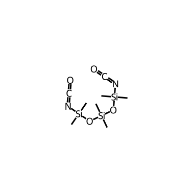 C[Si](C)(N=C=O)O[Si](C)(C)O[Si](C)(C)N=C=O